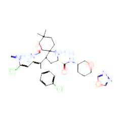 C=N/C(Cl)=C\C=C(/C)[C@]1(C(N)=O)[C@@H](c2cccc(Cl)c2)[C@H](C(=O)N[C@@H]2CC[C@@H](c3nnco3)OC2)NC12CCC(C)(C)CC2